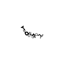 FC(F)CCOc1cc(-c2nc3cc(OCC4CC4)ccc3o2)on1